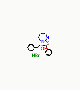 Br.OC1(CCc2ccccc2)C(c2ccccc2)S/C2=N/CCCCCN21